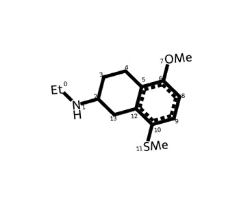 CCNC1CCc2c(OC)ccc(SC)c2C1